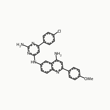 COc1ccc(-c2cc(N)c3cc(Nc4cc(-c5ccc(Cl)cc5)nc(N)n4)ccc3n2)cc1